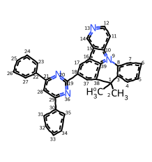 CC1(C)c2ccccc2-n2c3ccncc3c3cc(-c4nc(-c5ccccc5)cc(-c5ccccc5)n4)cc1c32